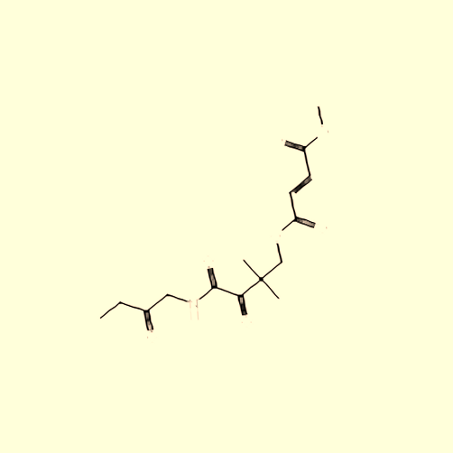 CCC(=O)CNC(=O)C(=O)C(C)(C)COC(=O)/C=C/C(=O)OC